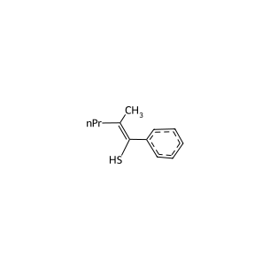 CCCC(C)=C(S)c1ccccc1